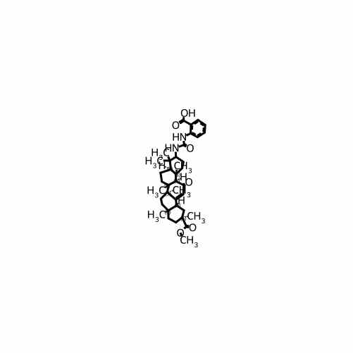 COC(=O)[C@@]1(C)CC[C@]2(C)CC[C@]3(C)C(=CC(=O)[C@@H]4[C@@]5(C)CCC(NC(=O)Nc6ccccc6C(=O)O)C(C)(C)[C@@H]5CC[C@]43C)[C@H]2C1